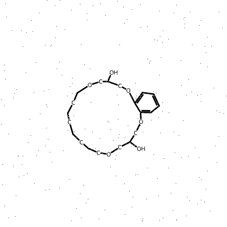 OC1COCCCCCCCCOCC(O)COc2ccccc2OC1